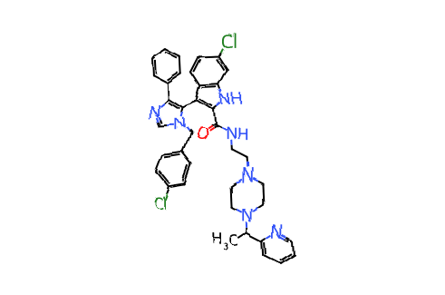 CC(c1ccccn1)N1CCN(CCNC(=O)c2[nH]c3cc(Cl)ccc3c2-c2c(-c3ccccc3)ncn2Cc2ccc(Cl)cc2)CC1